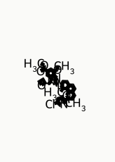 COC(=O)c1cc(OC)c2nc(CN3CCc4ccc5c(c4C3C)O[C@@](C)(c3ccc(Cl)cn3)C=C5)n(C[C@@H]3CCO3)c2c1